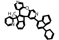 CC1(c2ccccn2)C2=C(c3cc(-c4ccc(C5C=CC=CC5)c5ccccc45)ncc3Oc3cnccc32)c2ccccc21